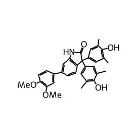 COc1ccc(-c2ccc3c(c2)NC(=O)C3(c2cc(C)c(O)c(C)c2)c2cc(C)c(O)c(C)c2)cc1OC